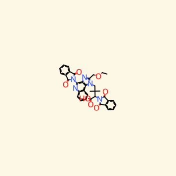 CCOCc1nc2c(N3C(=O)c4ccccc4C3=O)nc3ccccc3c2n1CC(C)(C)C(C(=O)O)N1C(=O)c2ccccc2C1=O